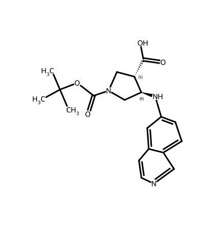 CC(C)(C)OC(=O)N1C[C@H](Nc2ccc3cnccc3c2)[C@@H](C(=O)O)C1